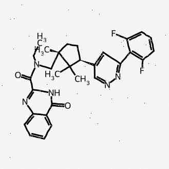 CCN(C[C@]1(C)CC[C@@H](c2cnnc(-c3c(F)cccc3F)c2)C1(C)C)C(=O)c1nc2ccccc2c(=O)[nH]1